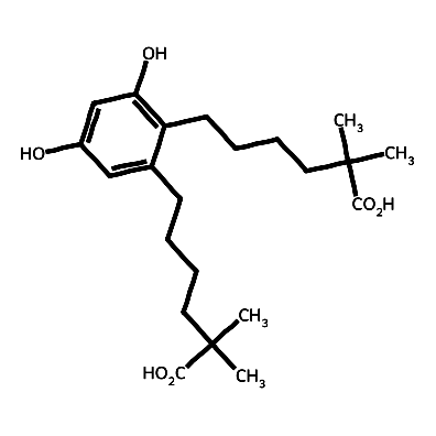 CC(C)(CCCCc1cc(O)cc(O)c1CCCCC(C)(C)C(=O)O)C(=O)O